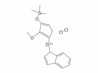 COC1=[C]([Zr+2][CH]2C=Cc3ccccc32)CC=C1O[Si](C)(C)C.[Cl-].[Cl-]